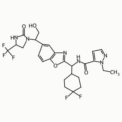 CCn1nccc1C(=O)NC(c1nc2cc(C(CO)N3CC(C(F)(F)F)NC3=O)ccc2o1)C1CCC(F)(F)CC1